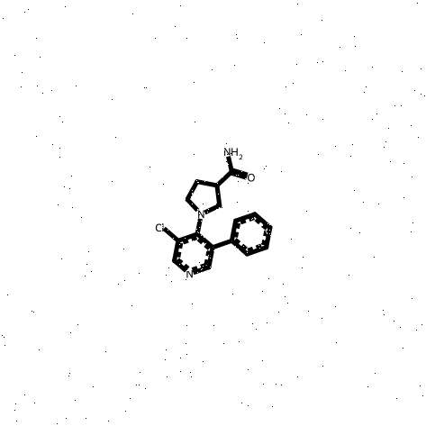 NC(=O)C1CCN(c2c(Cl)cncc2-c2ccccc2)C1